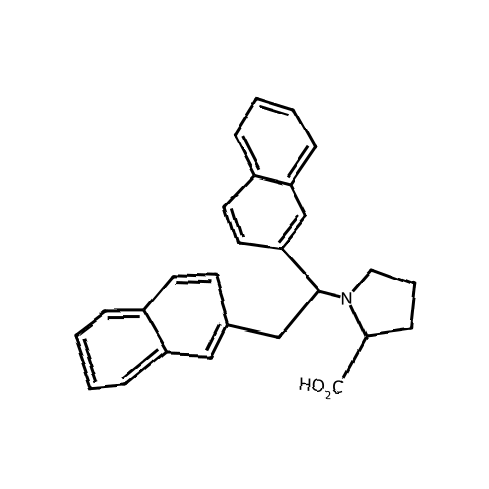 O=C(O)C1CCCN1C(Cc1ccc2ccccc2c1)c1ccc2ccccc2c1